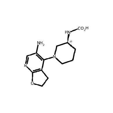 Nc1cnc2c(c1N1CCC[C@H](NC(=O)O)C1)CCO2